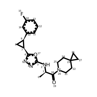 C[C@@H](Nc1nnc([C@H]2C[C@H]2c2cccc(F)c2)o1)C(=O)N1CCC2(CC1)CC2